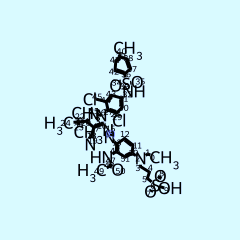 CCN(CCCS(=O)(=O)O)c1ccc(/N=N/c2c(C#N)c(C(C)(C)C)nn2-c2c(Cl)cc(NS(=O)(=O)c3ccc(C)cc3)cc2Cl)c(NC(C)=O)c1